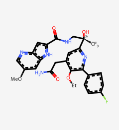 CCOc1c(CC(N)=O)cc([C@@](O)(CNC(=O)c2cc3ncc(OC)cc3[nH]2)C(F)(F)F)nc1-c1ccc(F)cc1